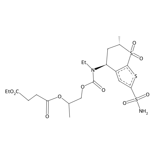 CCOC(=O)CCC(=O)OC(C)COC(=O)N(CC)[C@H]1C[C@H](C)S(=O)(=O)c2sc(S(N)(=O)=O)cc21